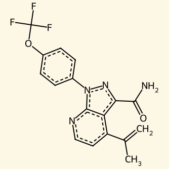 C=C(C)c1ccnc2c1c(C(N)=O)nn2-c1ccc(OC(F)(F)F)cc1